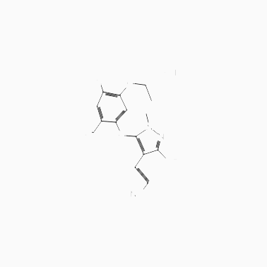 C[C@H](Oc1cc(Oc2c(C=CC#N)c(C(F)(F)F)nn2C)c(Cl)cc1Cl)C(=O)O